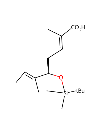 CC=C(C)[C@@H](CC=C(C)C(=O)O)O[Si](C)(C)C(C)(C)C